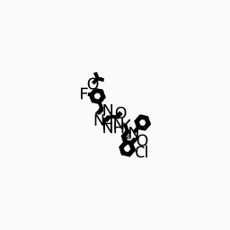 CC(C)Oc1ccc(-c2cnc(N)c(C(=O)N[C@@H](C)c3cc4cccc(Cl)c4c(=O)n3-c3ccccc3)n2)cc1F